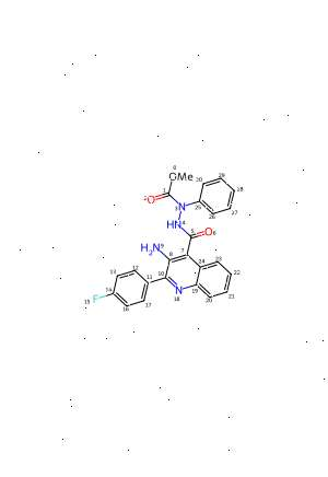 COC(=O)N(NC(=O)c1c(N)c(-c2ccc(F)cc2)nc2ccccc12)c1ccccc1